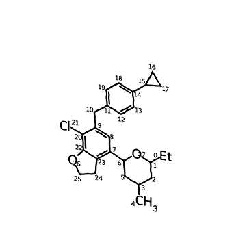 CCC1CC(C)CC(c2cc(Cc3ccc(C4CC4)cc3)c(Cl)c3c2CCO3)O1